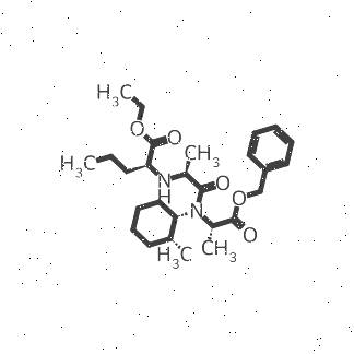 CCC[C@H](N[C@@H](C)C(=O)N([C@@H](C)C(=O)OCc1ccccc1)[C@H]1CCCC[C@H]1C)C(=O)OCC